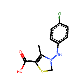 CC1=C(C(=O)O)SCN1Nc1ccc(Cl)cc1